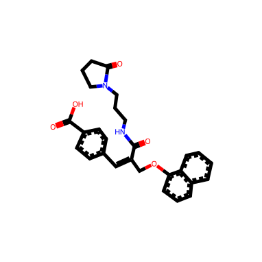 O=C(NCCCN1CCCC1=O)C(=Cc1ccc(C(=O)O)cc1)COc1cccc2ccccc12